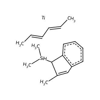 CC1=Cc2ccccc2C1[SiH](C)C.CC=CC=CC.[Ti]